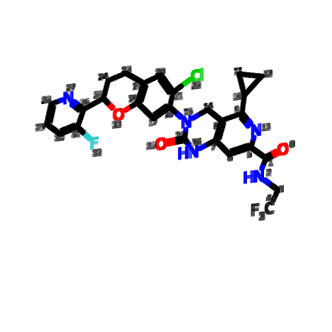 O=C(NCC(F)(F)F)c1cc2c(c(C3CC3)n1)CN(c1cc3c(cc1Cl)CCC(c1ncccc1F)O3)C(=O)N2